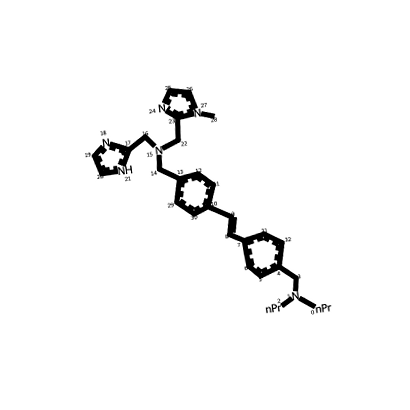 CCCN(CCC)Cc1ccc(/C=C/c2ccc(CN(Cc3ncc[nH]3)Cc3nccn3C)cc2)cc1